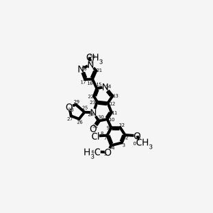 COc1cc(OC)c(Cl)c(-c2cc3cnc(-c4cnn(C)c4)cc3n(C3CCOC3)c2=O)c1